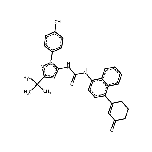 Cc1ccc(-n2nc(C(C)(C)C)cc2NC(=O)Nc2ccc(C3=CC(=O)CCC3)c3ccccc23)cc1